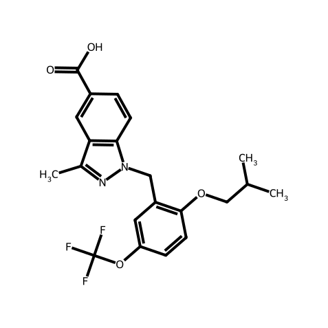 Cc1nn(Cc2cc(OC(F)(F)F)ccc2OCC(C)C)c2ccc(C(=O)O)cc12